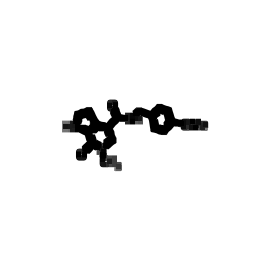 COc1ccc(CNC(=O)c2cn(C)c(=O)c3[nH]ccc23)cc1